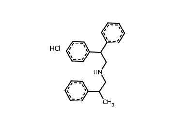 CC(CNCC(c1ccccc1)c1ccccc1)c1ccccc1.Cl